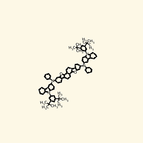 CC(C)(C)c1cc(-n2c3ccccc3c3cc(N(c4ccccc4)c4ccc5c(c4)oc4c5ccc5c4ccc4c6ccc(N(c7ccccc7)c7ccc8c(c7)c7ccccc7n8-c7cc(C(C)(C)C)cc(C(C)(C)C)c7)cc6oc45)ccc32)cc(C(C)(C)C)c1